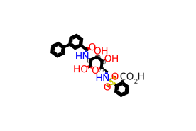 O=C(N[C@H]1C(O)O[C@H](CNS(=O)(=O)c2ccccc2C(=O)O)[C@@H](O)[C@@H]1O)c1cccc(-c2ccccc2)c1